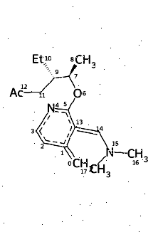 C=c1ccnc(O[C@H](C)[C@@H](CC)CC(C)=O)/c1=C/N(C)C